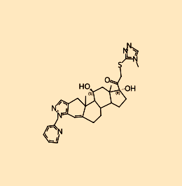 Cn1cnnc1SCC(=O)[C@@]1(O)CCC2C3CCC4=Cc5c(cnn5-c5ccccn5)CC4(C)C3[C@@H](O)CC21C